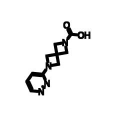 O=C(O)N1CC2(C1)CN(c1cccnn1)C2